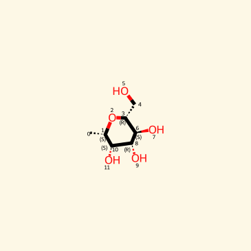 C[C@@H]1O[C@H](CO)[C@@H](O)[C@H](O)[C@@H]1O